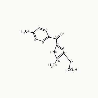 Cc1ccc(C(=O)c2cc(CC(=O)O)c(C)[nH]2)cc1